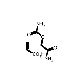 C=CC(=O)O.NC(=O)COC(N)=O